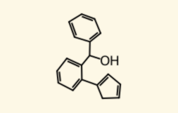 OC(c1ccccc1)c1ccccc1C1=CC=CC1